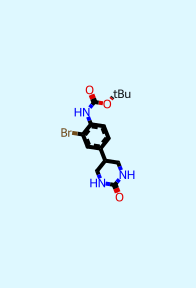 CC(C)(C)OC(=O)Nc1ccc(C2CNC(=O)NC2)cc1Br